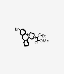 CCOC(C(=O)OC)N1CCN2c3ccc(Br)cc3Cc3ccccc3C2C1